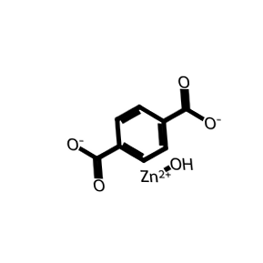 O=C([O-])c1ccc(C(=O)[O-])cc1.[OH][Zn+2]